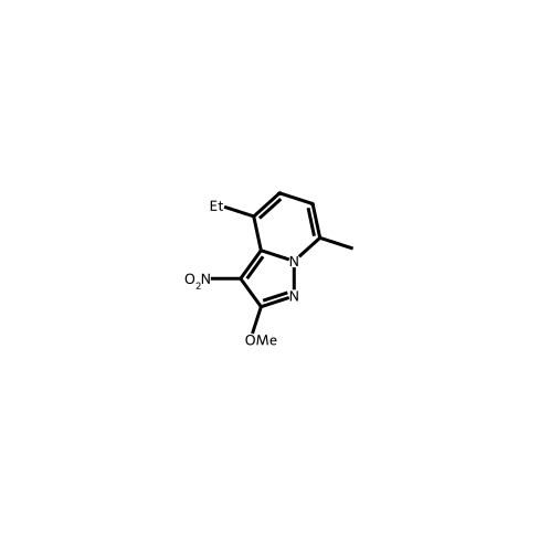 CCc1ccc(C)n2nc(OC)c([N+](=O)[O-])c12